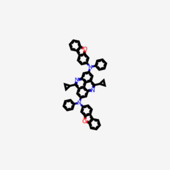 c1ccc(N(c2ccc3c(c2)oc2ccccc23)c2cc3nc(C4CC4)c4cc(N(c5ccccc5)c5ccc6c(c5)oc5ccccc56)cc5nc(C6CC6)c(c2)c3c54)cc1